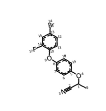 CC(C#N)Oc1ccc(Oc2ccc(Br)cc2F)cc1